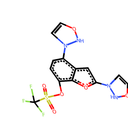 O=S(=O)(Oc1ccc(N2C=CON2)c2cc(N3C=CON3)oc12)C(F)(F)F